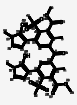 COC(=O)c1c(C)c(C(=O)c2cc(-c3cnn(C)c3O)c(S(C)(=O)=O)c(C(=O)OC)c2C)cc(-c2cnn(C)c2O)c1S(C)(=O)=O